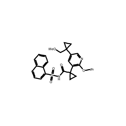 COCC1(c2cnc(OC(C)C)c(C3(C(=O)NS(=O)(=O)c4cccc5ccccc45)CC3)c2)CC1